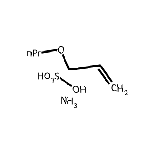 C=CCOCCC.N.O=S(=O)(O)O